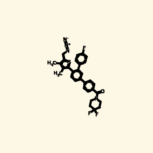 Cc1c(CN=[N+]=[N-])sc(-c2ccc(-c3ccc(C(=O)N4CCC(F)(F)CC4)cc3)cc2-c2ccc(F)cc2)c1C